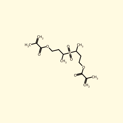 C=C(C)C(=O)OCCC(C)S(=O)(=O)C(C)CCOC(=O)C(=C)C